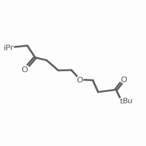 CC(C)CC(=O)CCCOCCC(=O)C(C)(C)C